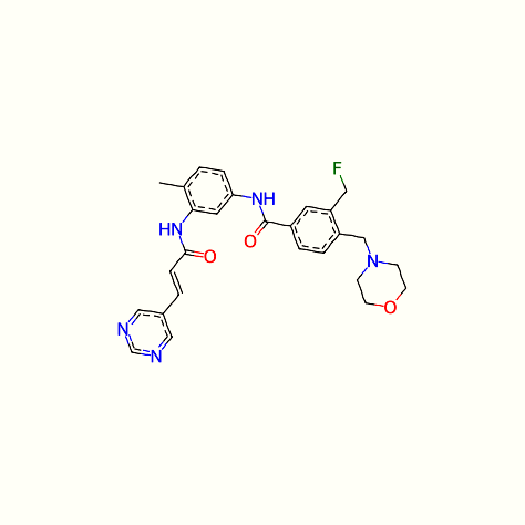 Cc1ccc(NC(=O)c2ccc(CN3CCOCC3)c(CF)c2)cc1NC(=O)/C=C/c1cncnc1